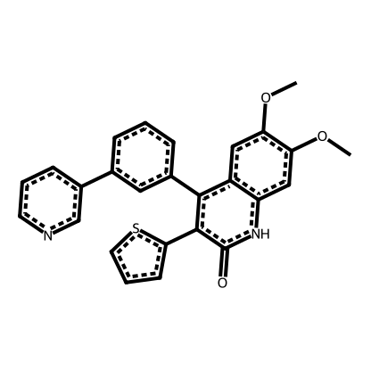 COc1cc2[nH]c(=O)c(-c3cccs3)c(-c3cccc(-c4cccnc4)c3)c2cc1OC